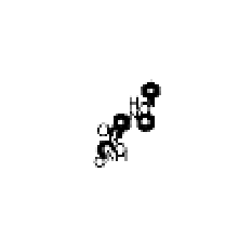 O=C1CCC(N2Cc3cc(N[C@@H]4CCCC[C@H]4OCc4ccccc4)ccc3C2=O)C(=O)N1